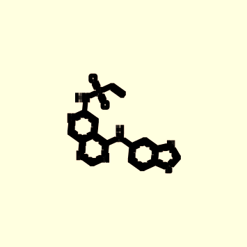 C=CS(=O)(=O)Nc1cc2c(Nc3ccc4scnc4c3)ncnc2cn1